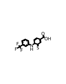 O=C(O)C1=CC(=S)C(Nc2cccc(C(F)(F)F)c2)C=C1